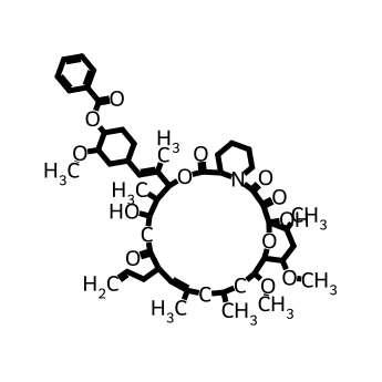 C=CCC1C=C(C)CC(C)CC(OC)C2OC(O)(C(=O)C(=O)N3CCCCC3C(=O)OC(C(C)=CC3CCC(OC(=O)c4ccccc4)C(OC)C3)C(C)C(O)CC1=O)C(C)CC2OC